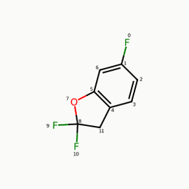 Fc1ccc2c(c1)OC(F)(F)C2